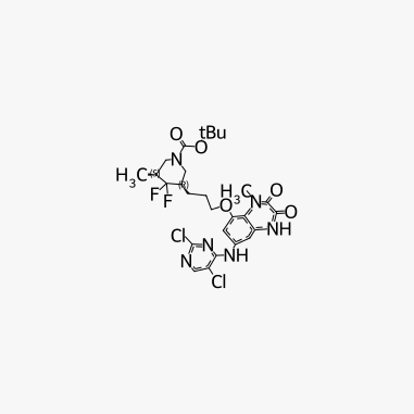 C[C@H]1CN(C(=O)OC(C)(C)C)C[C@@H](CCCOc2cc(Nc3nc(Cl)ncc3Cl)cc3[nH]c(=O)c(=O)n(C)c23)C1(F)F